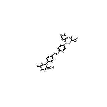 COC(=O)CC(c1ccc(OCc2ccc(-c3cc(C)ccc3O)cc2)cc1)c1ncco1